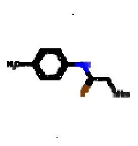 CCCCCCCC(=S)Nc1ccc(C)cc1